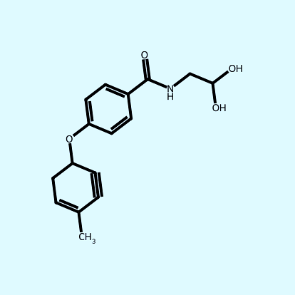 CC1=CCC(Oc2ccc(C(=O)NCC(O)O)cc2)C#C1